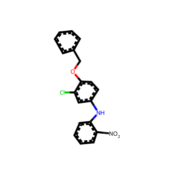 O=[N+]([O-])c1ccc[c]c1Nc1ccc(OCc2ccccc2)c(Cl)c1